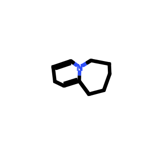 C1=CN2CCCCCC2=CC1